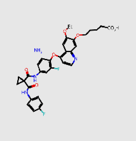 CCOc1cc2c(Oc3ccc(NC(=O)C4(C(=O)Nc5ccc(F)cc5)CC4)cc3F)ccnc2cc1OCCCCC(=O)O.N